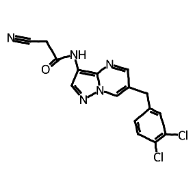 N#CCC(=O)Nc1cnn2cc(Cc3ccc(Cl)c(Cl)c3)cnc12